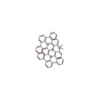 C[Si]1(C)c2cccc3c2B2c4c(cccc4N(c4c(-c5ccccc5)cccc4-c4ccccc4)c4cccc1c42)N3c1c(-c2ccccc2)cccc1-c1ccccc1